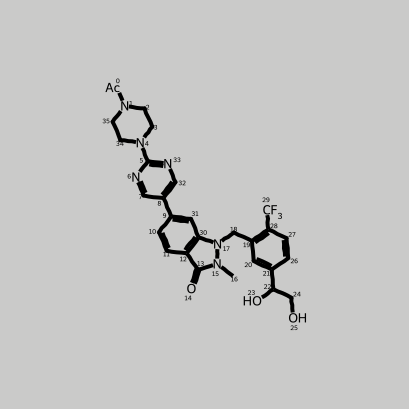 CC(=O)N1CCN(c2ncc(-c3ccc4c(=O)n(C)n(Cc5cc(C(O)CO)ccc5C(F)(F)F)c4c3)cn2)CC1